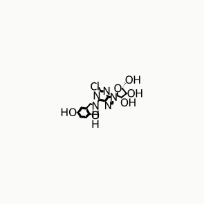 OC[C@H]1OC(n2cnc3c(NCc4cc(O)ccc4O)nc(Cl)nc32)[C@H](O)[C@@H]1O